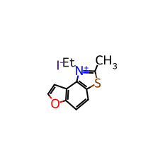 CC[n+]1c(C)sc2ccc3occc3c21.[I-]